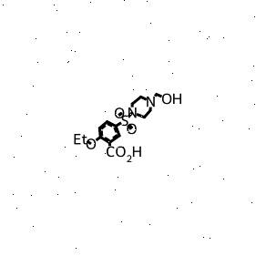 CCOc1ccc(S(=O)(=O)N2CCN(CO)CC2)cc1C(=O)O